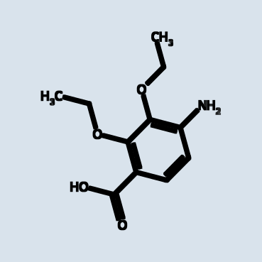 CCOc1c(N)ccc(C(=O)O)c1OCC